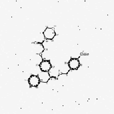 COc1ccc(CON=C(Cc2ccccc2)c2ccc(OCC(=O)N3CCOCC3)cc2)cc1